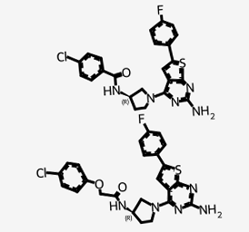 Nc1nc(N2CC[C@@H](NC(=O)COc3ccc(Cl)cc3)C2)c2cc(-c3ccc(F)cc3)sc2n1.Nc1nc(N2CC[C@@H](NC(=O)c3ccc(Cl)cc3)C2)c2cc(-c3ccc(F)cc3)sc2n1